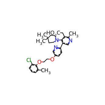 Cc1cccc(Cl)c1OCCOc1ccc(-c2cnc(C)c(CC(=O)O)c2N2CCC(C)(C)CC2)nc1